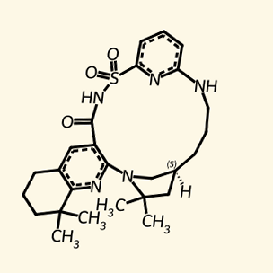 CC1(C)CCCc2cc3c(nc21)N1C[C@@H](CCCNc2cccc(n2)S(=O)(=O)NC3=O)CC1(C)C